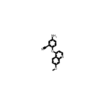 COc1ccc2c(Oc3ccc(N)cc3C#N)ccnc2c1